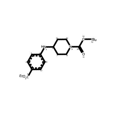 CCOC(=O)c1ccc(NC2CCN(C(=O)OC(C)(C)C)CC2)cc1